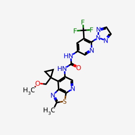 COCC1(c2c(NC(=O)Nc3cnc(-n4nccn4)c(C(F)(F)F)c3)cnc3sc(C)nc23)CC1